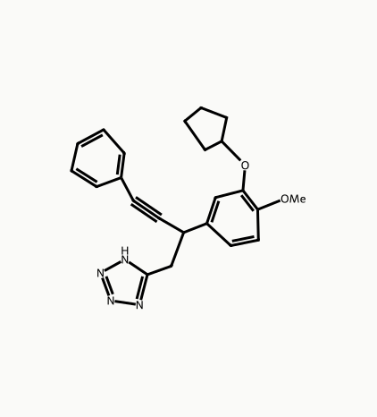 COc1ccc(C(C#Cc2ccccc2)Cc2nnn[nH]2)cc1OC1CCCC1